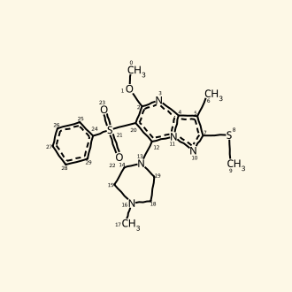 COc1nc2c(C)c(SC)nn2c(N2CCN(C)CC2)c1S(=O)(=O)c1ccccc1